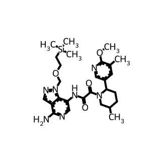 COc1ncc(C2CCC(C)CN2C(=O)C(=O)Nc2cnc(N)c3cnn(COCC[Si](C)(C)C)c23)cc1C